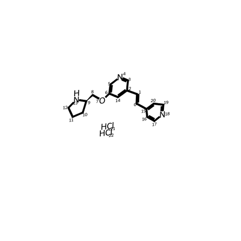 C(=Cc1cncc(OC[C@H]2CCCN2)c1)c1ccncc1.Cl.Cl